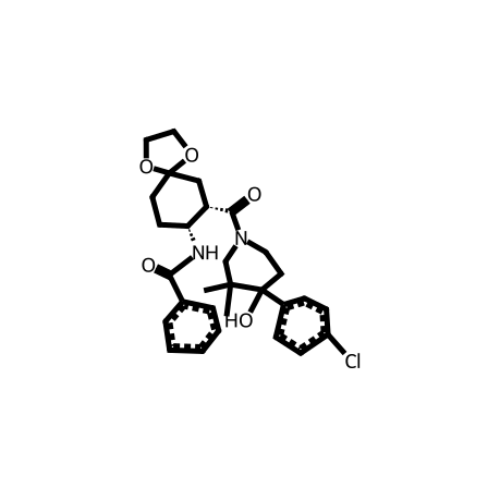 CC1(C)CN(C(=O)[C@H]2CC3(CC[C@H]2NC(=O)c2ccccc2)OCCO3)CCC1(O)c1ccc(Cl)cc1